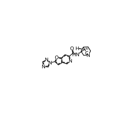 O=C(N[C@H]1CN2CCC1CC2)c1cc2oc(-n3cncn3)cc2cn1